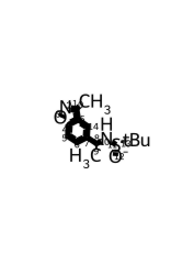 Cc1noc2ccc([C@@H](C)N[S@+]([O-])C(C)(C)C)cc12